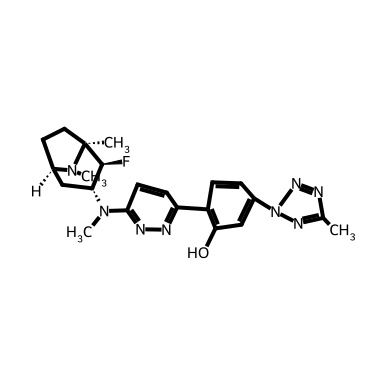 Cc1nnn(-c2ccc(-c3ccc(N(C)[C@@H]4C[C@H]5CC[C@@](C)([C@H]4F)N5C)nn3)c(O)c2)n1